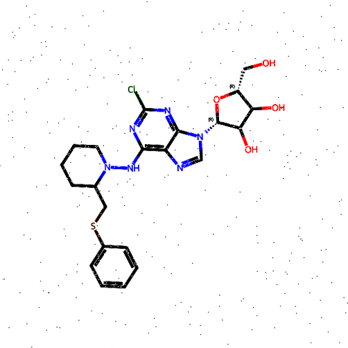 OC[C@H]1O[C@@H](n2cnc3c(NN4CCCCC4CSc4ccccc4)nc(Cl)nc32)C(O)C1O